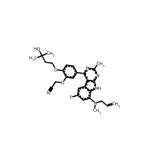 C=CCN(C)c1cc(F)cc2c1[nH]c1nc(C)nc(-c3ccc(OCCC(C)(C)O)c(OCC#N)c3)c12